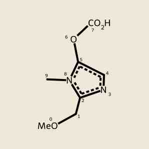 COCc1ncc(OC(=O)O)n1C